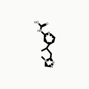 CC(Cc1nncn1C)c1ccnc(NC(=O)O)c1